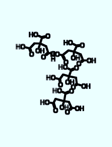 O=C(O)CC(O)(CC(=O)O)C(=O)O.O=C(O)CC(O)(CC(=O)O)C(=O)O.O=C(O)CC(O)(CC(=O)O)C(=O)O.O=C(O)CC(O)(CC(=O)O)C(=O)O